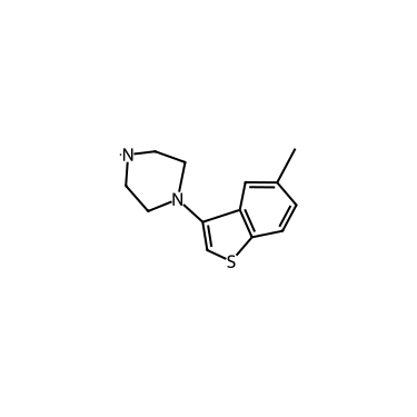 Cc1ccc2scc(N3CC[N]CC3)c2c1